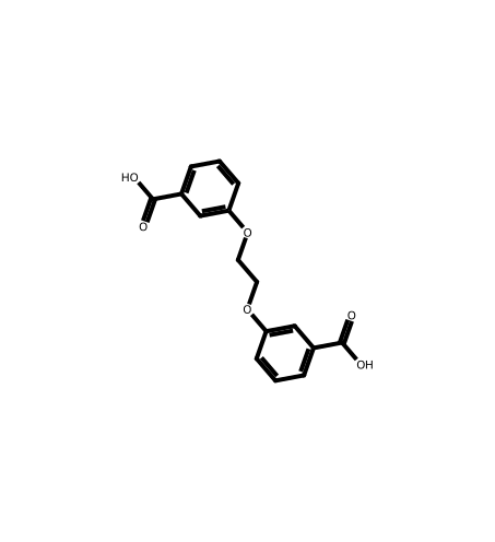 O=C(O)c1cccc(OCCOc2cccc(C(=O)O)c2)c1